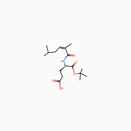 CC(=CCC(C)C)C(=O)N[C@H](CCC(=O)O)C(=O)OC(C)(C)C